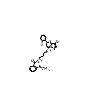 CSc1ccccc1C(=O)NCCCNc1cc(-c2ccccc2Cl)nc2c(Br)cnn12